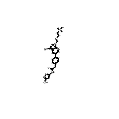 CC(C)(C)c1cc(NC(=O)Cc2ccc(-c3cnc4c(c3)c(C#N)nn4COCC[Si](C)(C)C)cc2)no1